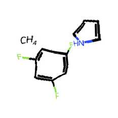 C.Fc1cc(F)cc(F)c1.c1cc[nH]c1